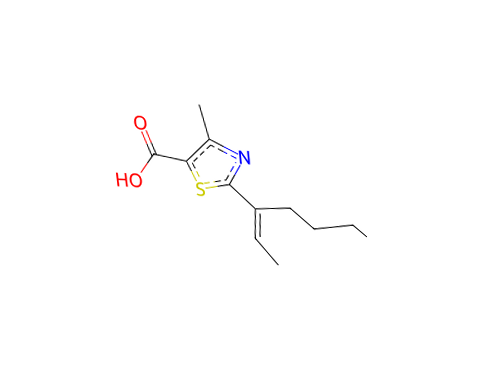 C/C=C(\CCCC)c1nc(C)c(C(=O)O)s1